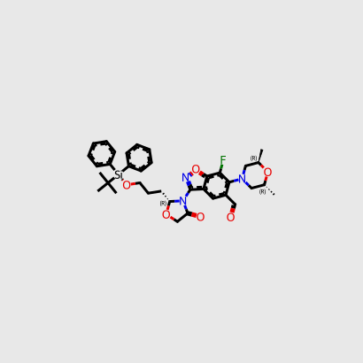 C[C@@H]1CN(c2c(C=O)cc3c(N4C(=O)CO[C@@H]4CCCO[Si](c4ccccc4)(c4ccccc4)C(C)(C)C)noc3c2F)C[C@@H](C)O1